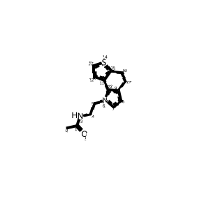 CC(=O)NCCn1ccc2c1-c1ccsc1CC2